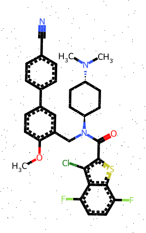 COc1ccc(-c2ccc(C#N)cc2)cc1CN(C(=O)c1sc2c(F)ccc(F)c2c1Cl)[C@H]1CC[C@H](N(C)C)CC1